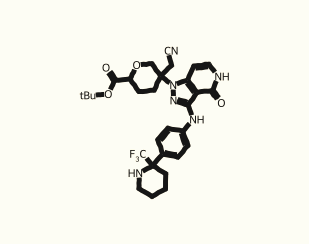 CC(C)(C)OC(=O)C1CCC(CC#N)(n2nc(Nc3ccc(C4(C(F)(F)F)CCCCN4)cc3)c3c(=O)[nH]ccc32)CO1